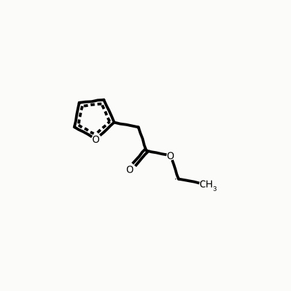 C[CH]OC(=O)Cc1ccco1